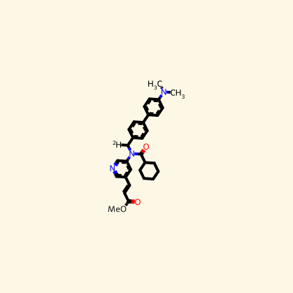 [2H]C(c1ccc(-c2ccc(N(C)C)cc2)cc1)N(C(=O)C1CCCCC1)c1cncc(/C=C/C(=O)OC)c1